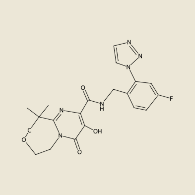 CC1(C)COCCn2c1nc(C(=O)NCc1ccc(F)cc1-n1ccnn1)c(O)c2=O